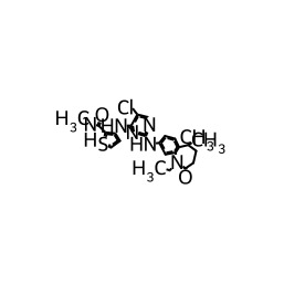 CCN1C(=O)CCC(C)(C)c2ccc(Nc3ncc(Cl)c(Nc4ccsc4C(=O)NC)n3)cc21